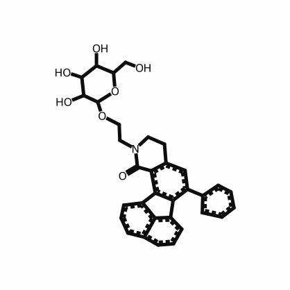 O=C1c2c(cc(-c3ccccc3)c3c2-c2cccc4cccc-3c24)CCN1CCOC1OC(CO)C(O)C(O)C1O